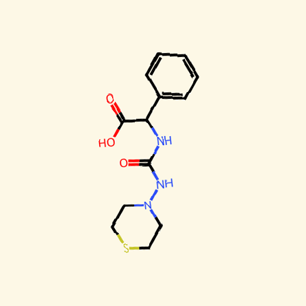 O=C(NC(C(=O)O)c1ccccc1)NN1CCSCC1